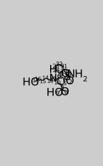 NS(=O)(=O)c1cc(C(=O)O)cc(NCCCCO)c1-c1ccccc1